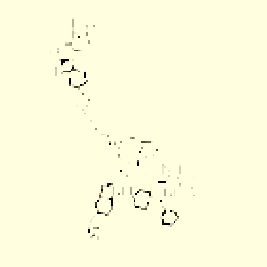 Cn1c(=O)n(C2CCC(=O)NC2=O)c2ccc(C3CC(CCCCC(=O)N4CCC5CC[C@@H](C(=O)N[C@@H](CCC(N)=O)C(=O)NC(c6ccccc6)c6ccccc6)N5C(=O)[C@@H](NC(=O)c5cc6cc(C(=O)P(=O)(O)O)ccc6[nH]5)C4)C3)cc21